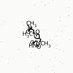 CCN1CC(CC(C)N2CCC(CC(C)N3CC(=O)NC3=O)CC2=O)C1=O